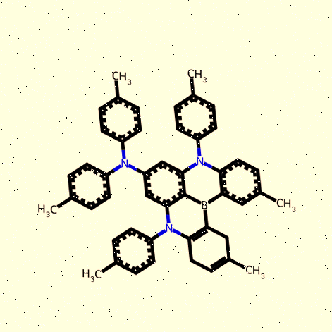 CC1=CCC2=C(C1)B1c3cc(C)ccc3N(c3ccc(C)cc3)c3cc(N(c4ccc(C)cc4)c4ccc(C)cc4)cc(c31)N2c1ccc(C)cc1